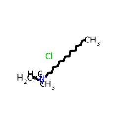 C=CC[N+](C)(C)CC=CCCCCCCCCCCCC.[Cl-]